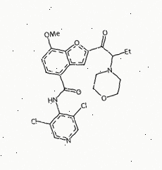 CCC(C(=O)c1cc2c(C(=O)Nc3c(Cl)cncc3Cl)ccc(OC)c2o1)N1CCOCC1